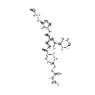 COC(=O)CCN1CCC(Nc2cc(N3CCOCC3)nc(NCc3cn(CCCO)nn3)n2)CC1